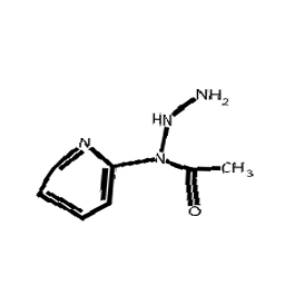 CC(=O)N(NN)c1ccccn1